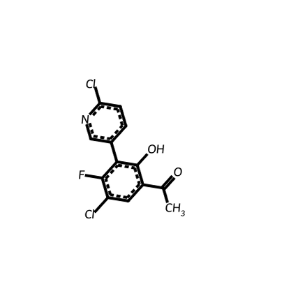 CC(=O)c1cc(Cl)c(F)c(-c2ccc(Cl)nc2)c1O